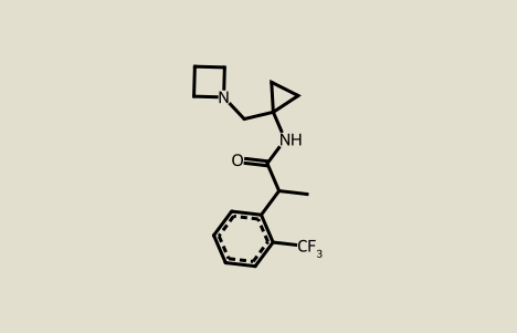 CC(C(=O)NC1(CN2CCC2)CC1)c1ccccc1C(F)(F)F